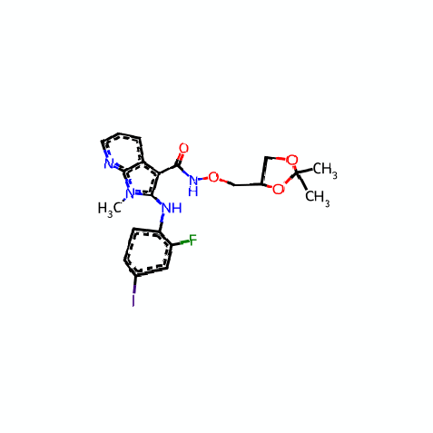 Cn1c(Nc2ccc(I)cc2F)c(C(=O)NOCC2COC(C)(C)O2)c2cccnc21